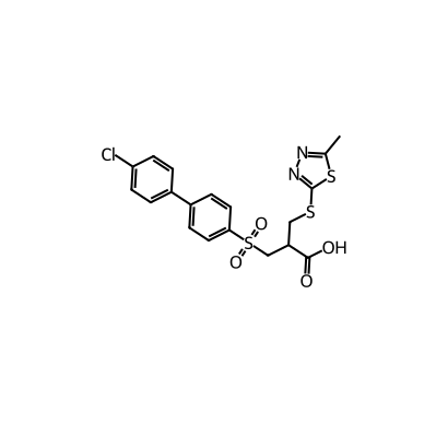 Cc1nnc(SCC(CS(=O)(=O)c2ccc(-c3ccc(Cl)cc3)cc2)C(=O)O)s1